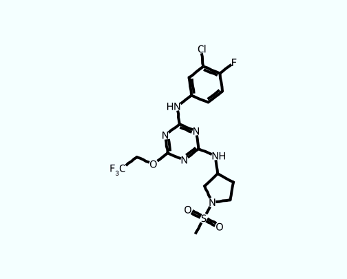 CS(=O)(=O)N1CCC(Nc2nc(Nc3ccc(F)c(Cl)c3)nc(OCC(F)(F)F)n2)C1